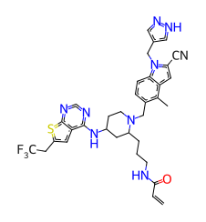 C=CC(=O)NCCCC1CC(Nc2ncnc3sc(CC(F)(F)F)cc23)CCN1Cc1ccc2c(cc(C#N)n2Cc2cn[nH]c2)c1C